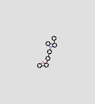 c1ccc(-c2cccc3c2c2ccccc2n3-c2ccc(-c3ccc(-c4cccc5c4oc4ccccc45)cc3)cc2)cc1